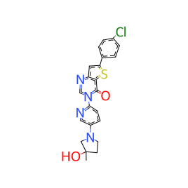 CC1(O)CCN(c2ccc(-n3cnc4cc(-c5ccc(Cl)cc5)sc4c3=O)nc2)C1